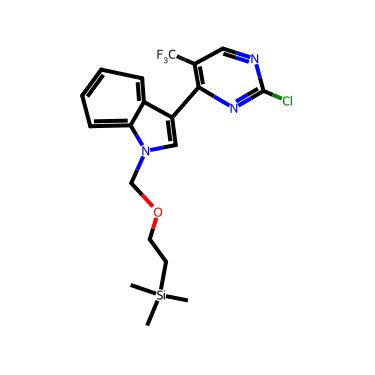 C[Si](C)(C)CCOCn1cc(-c2nc(Cl)ncc2C(F)(F)F)c2ccccc21